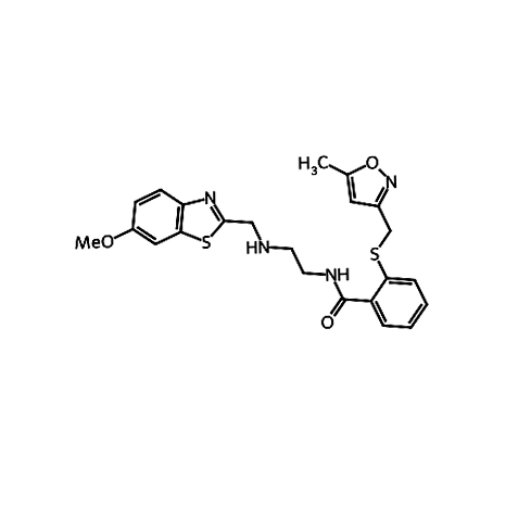 COc1ccc2nc(CNCCNC(=O)c3ccccc3SCc3cc(C)on3)sc2c1